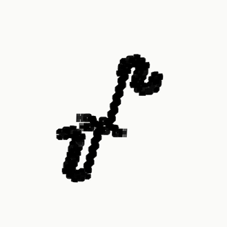 C[Si](C)(C)O[Si](C)(C)O[Si](C)(C)O[Si](C)(C)O[Si](C)(C)O[Si](C)(C)O[Si](C)(C)O[Si](C)(C)O[Si](C)(C)CCCCCCCCCCCC(OC(CCCCCCCCCCC[Si](C)(C)O[Si](C)(C)O[Si](C)(C)O[Si](C)(C)O[Si](C)(C)O[Si](C)(C)O[Si](C)(C)O[Si](C)(C)O[Si](C)(C)C)C(O)CO)C(O)CO